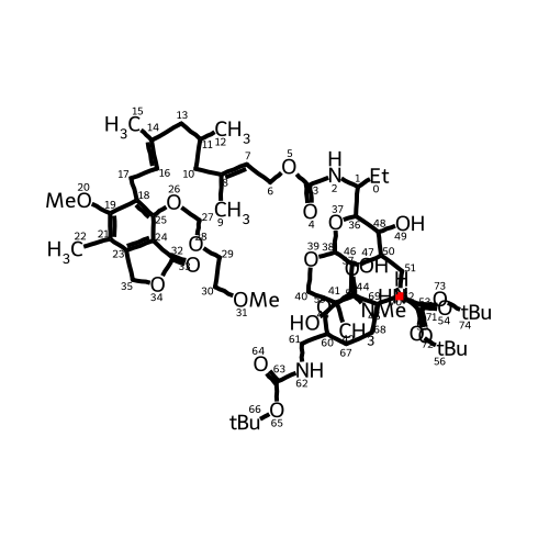 CCC(NC(=O)OC/C=C(\C)CC(C)C/C(C)=C/Cc1c(OC)c(C)c2c(c1OCOCCOC)C(=O)OC2)C(OC1OCC(C)(O)C(NC)C1O)C(O)C(CNC(=O)OC(C)(C)C)OC1OC(CNC(=O)OC(C)(C)C)CCC1NC(=O)OC(C)(C)C